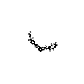 CNCCNC(=O)c1ccc(-c2cn(Cc3cccc4c3CN(C(=O)C[C@@H]3C[C@@H](C(=O)N5CC(F)(F)C[C@H]5C#N)NC3=O)C4)nn2)cc1